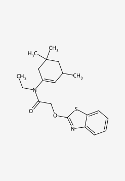 CCN(C(=O)COc1nc2ccccc2s1)C1=CC(C)CC(C)(C)C1